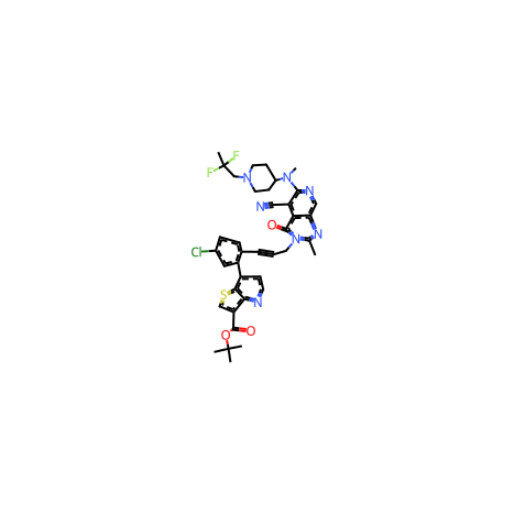 Cc1nc2cnc(N(C)C3CCN(CC(C)(F)F)CC3)c(C#N)c2c(=O)n1CC#Cc1ccc(Cl)cc1-c1ccnc2c(C(=O)OC(C)(C)C)csc12